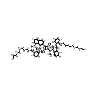 C=CCCCCCCCCOc1ccccc1BNc1cccc2c1C(=N)/C(=C1\C(=O)C(c3ccc4cccc5c4c3NB(c3ccccc3OCCCCCCCCC=C)N5)=C1O)C=C2